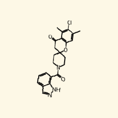 Cc1cc2c(c(C)c1Cl)C(=O)CC1(CCN(C(=O)c3cccc4cn[nH]c34)CC1)O2